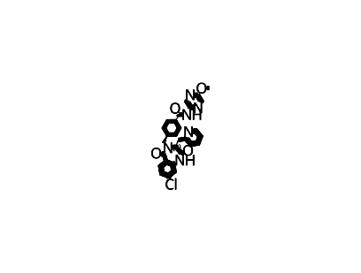 COc1cnc(NC(=O)[C@H]2CC[C@H](CN3C(=O)c4ccc(Cl)cc4NC(=O)[C@H]3Cc3ccccn3)CC2)cn1